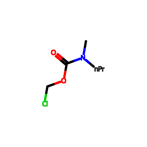 CCCN(C)C(=O)OCCl